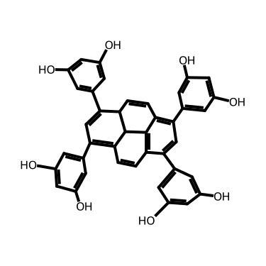 Oc1cc(O)cc(C2=CC(c3cc(O)cc(O)c3)=C3C=Cc4c(-c5cc(O)cc(O)c5)cc(-c5cc(O)cc(O)c5)c5c4C3C2C=C5)c1